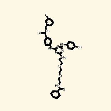 O=C(NCCOCCOCCNc1nc(Nc2ccc(O)cc2)nc(Nc2ccc(C(=O)NCc3cccc(F)c3)cc2)n1)c1ccccc1